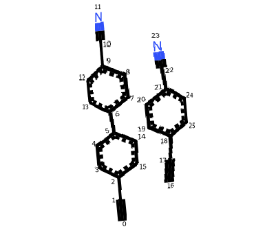 C#Cc1ccc(-c2ccc(C#N)cc2)cc1.C#Cc1ccc(C#N)cc1